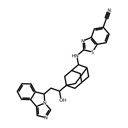 N#Cc1ccc2sc(NC3C4CC5CC3CC(C(O)CC3c6ccccc6-c6cncn63)(C5)C4)nc2c1